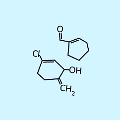 C=C1CCC(Cl)=CC1O.O=CC1=CCCCC1